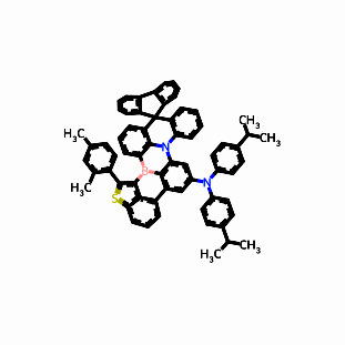 Cc1ccc(-c2sc3cccc4c3c2B2c3cccc5c3N(c3ccccc3C53c5ccccc5-c5ccccc53)c3cc(N(c5ccc(C(C)C)cc5)c5ccc(C(C)C)cc5)cc-4c32)c(C)c1